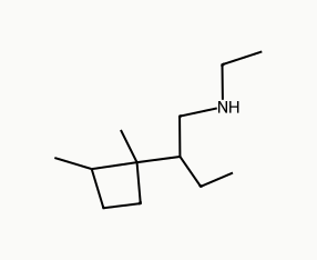 CCNCC(CC)C1(C)CCC1C